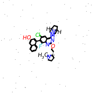 CN1CCC[C@H]1CCOc1nc(N2C[C@H]3CC[C@@H](C2)N3)c2cc(Cl)c(-c3cc(O)cc4ccccc34)c(F)c2n1